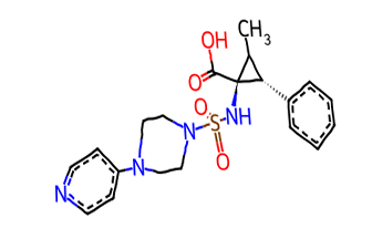 CC1[C@H](c2ccccc2)[C@]1(NS(=O)(=O)N1CCN(c2ccncc2)CC1)C(=O)O